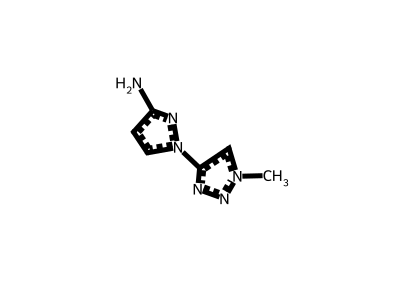 Cn1cc(-n2ccc(N)n2)nn1